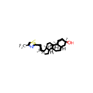 C[C@H](Cc1nc(C(F)(F)F)cs1)[C@H]1CC[C@H]2[C@@H]3CC[C@@H]4C[C@](C)(O)CC[C@]4(C)[C@H]3CC[C@]12C